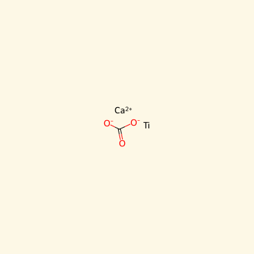 O=C([O-])[O-].[Ca+2].[Ti]